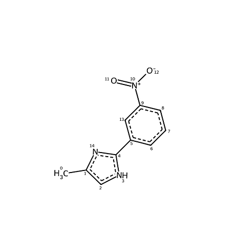 Cc1c[nH]c(-c2cccc([N+](=O)[O-])c2)n1